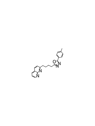 Cc1ccc(-c2nnc(CCCCc3ccc4cccnc4n3)o2)cc1